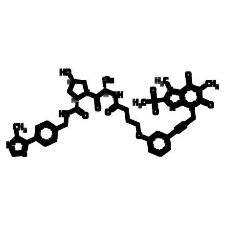 Cc1ncsc1-c1ccc(CNC(=O)[C@@H]2C[C@@H](O)CN2C(=O)[C@@H](NC(=O)CCCOc2cccc(C#CCn3c(=O)n(C)c(=O)c4c3nc(S(C)(=O)=O)n4C)c2)C(C)(C)C)cc1